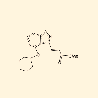 COC(=O)/C=C/c1n[nH]c2ccnc(OC3CCCCC3)c12